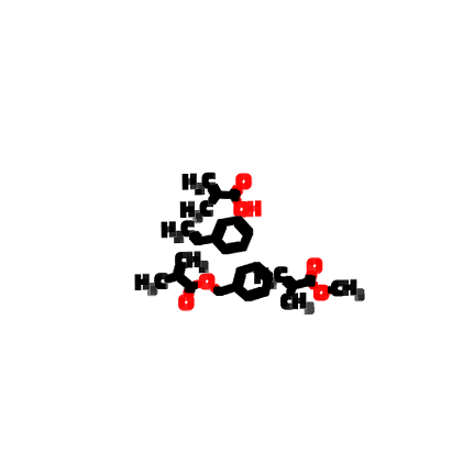 C=C(C)C(=O)O.C=C(C)C(=O)OC.C=C(C)C(=O)OCc1ccccc1.C=Cc1ccccc1